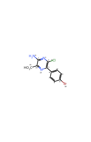 Nc1nc(Cl)c(-c2ccc(Br)cc2)nc1C(=O)O